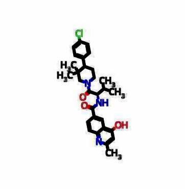 Cc1cc(O)c2cc(C(=O)N[C@@H](C(=O)N3CCC(c4ccc(Cl)cc4)C(C)(C)C3)C(C)C)ccc2n1